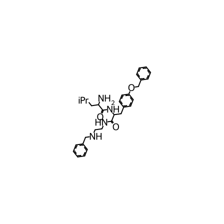 CC(C)CC(N)C(=O)NC(Cc1ccc(OCc2ccccc2)cc1)C(=O)NCCNCc1ccccc1